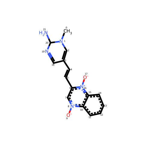 CN1C=C(C=Cc2c[n+]([O-])c3ccccc3[n+]2[O-])C=NC1N